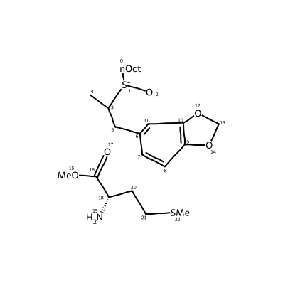 CCCCCCCC[S+]([O-])C(C)Cc1ccc2c(c1)OCO2.COC(=O)[C@@H](N)CCSC